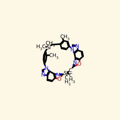 Cc1cc2ccc1C[Si](C)(C)c1ccc(cc1C)-n1cnc3ccc4oc(nc4c31)[Si](C)(C)Cc1nc3c(ccc4ncn-2c43)o1